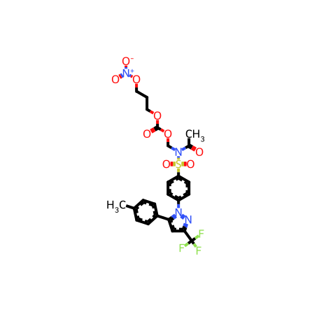 CC(=O)N(COC(=O)OCCCO[N+](=O)[O-])S(=O)(=O)c1ccc(-n2nc(C(F)(F)F)cc2-c2ccc(C)cc2)cc1